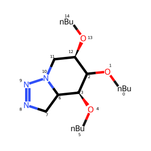 CCCCOC1[C@@H](OCCCC)C2CN=NN2C[C@H]1OCCCC